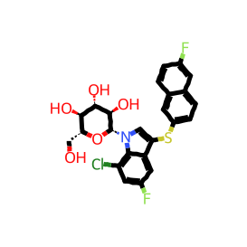 OC[C@H]1O[C@@H](n2cc(Sc3ccc4cc(F)ccc4c3)c3cc(F)cc(Cl)c32)[C@H](O)[C@@H](O)[C@@H]1O